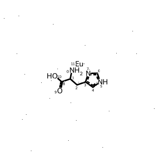 NC(Cc1c[nH]cn1)C(=O)O.[Eu]